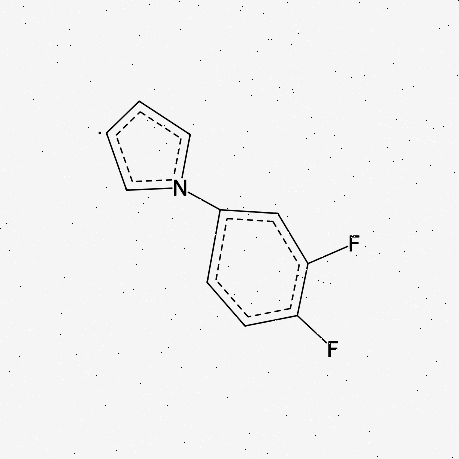 Fc1ccc(-n2c[c]cc2)cc1F